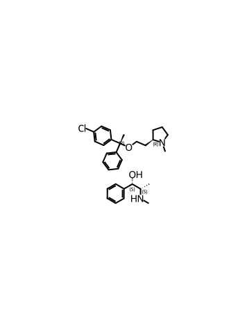 CN1CCC[C@@H]1CCO[C@](C)(c1ccccc1)c1ccc(Cl)cc1.CN[C@@H](C)[C@@H](O)c1ccccc1